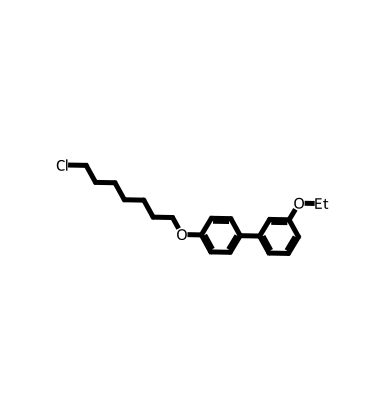 CCOc1cccc(-c2ccc(OCCCCCCCCl)cc2)c1